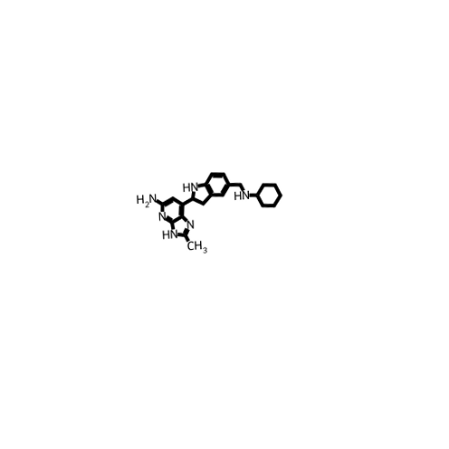 Cc1nc2c(C3Cc4cc(CNC5CCCCC5)ccc4N3)cc(N)nc2[nH]1